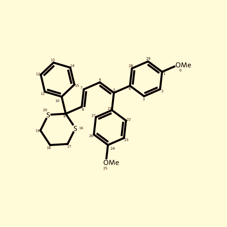 COc1ccc(C(=CC=CC2(c3ccccc3)SCCCS2)c2ccc(OC)cc2)cc1